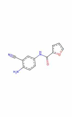 N#Cc1cc(NC(=O)c2ccco2)ccc1N